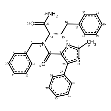 Cc1nc(C(=O)N(Cc2ccccc2)[C@@H](CCc2ccccc2)C(N)=O)c(-c2ccccc2)s1